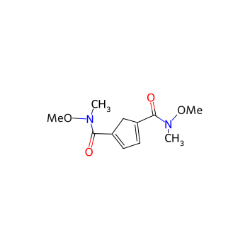 CON(C)C(=O)C1=CC=C(C(=O)N(C)OC)C1